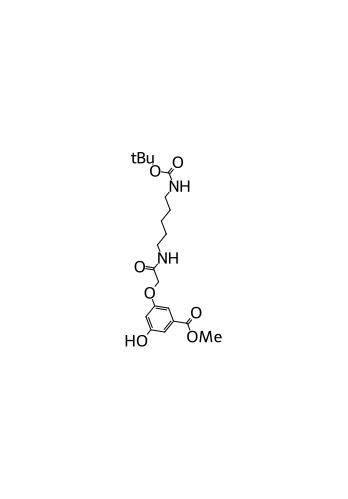 COC(=O)c1cc(O)cc(OCC(=O)NCCCCCNC(=O)OC(C)(C)C)c1